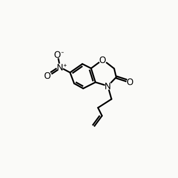 C=CCCN1C(=O)COc2cc([N+](=O)[O-])ccc21